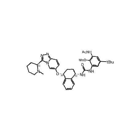 COc1c(NC(C)=O)cc(C(C)(C)C)cc1NC(=O)N[C@H]1CC[C@@H](Oc2ccc3nnc([C@@H]4CCCCN4C)n3c2)c2ccccc21